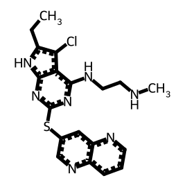 CCc1[nH]c2nc(Sc3cnc4cccnc4c3)nc(NCCNC)c2c1Cl